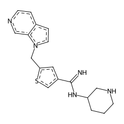 N=C(NC1CCCNC1)c1csc(Cn2ccc3ccncc32)c1